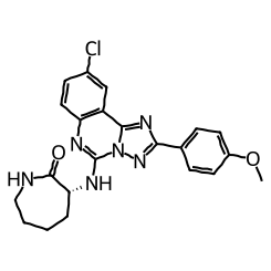 COc1ccc(-c2nc3c4cc(Cl)ccc4nc(N[C@@H]4CCCCNC4=O)n3n2)cc1